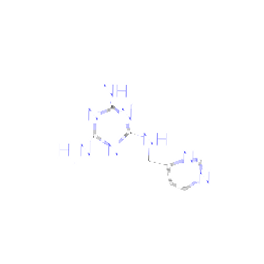 Nc1nc(N)nc(NCc2ccncn2)n1